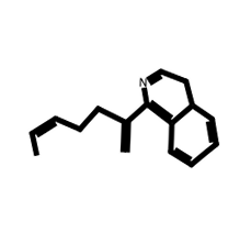 C=C(CC/C=C\C)C1=C2C=CC=CC2CC=N1